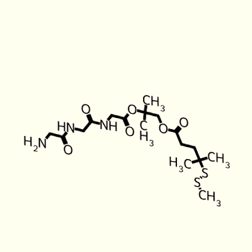 CSSC(C)(C)CCC(=O)OCC(C)(C)OC(=O)CNC(=O)CNC(=O)CN